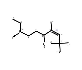 CC[C@H](C)CCC(Cl)/C(C)=C\C(C)(C)C